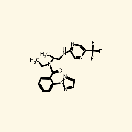 CCN(C(=O)c1ccccc1-n1nccn1)C(C)CNc1cnc(C(F)(F)F)cn1